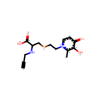 C#CCNC(CSCCn1ccc(=O)c(O)c1C)C(=O)O